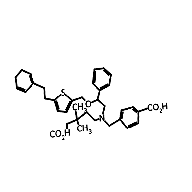 CC(C)(CCN(Cc1ccc(C(=O)O)cc1)CC(OCc1ccc(CCC2=CCCC=C2)s1)c1ccccc1)CC(=O)O